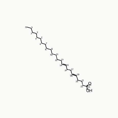 CCCCCCCCCCCCCCC=CCCC=CCCCC(=O)O